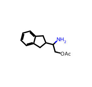 CC(=O)OCC(N)C1Cc2ccccc2C1